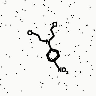 O=[N+]([O-])c1ccc(N(CCCl)CCCl)cc1